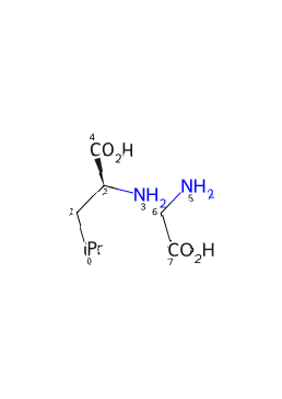 CC(C)C[C@H](N)C(=O)O.NCC(=O)O